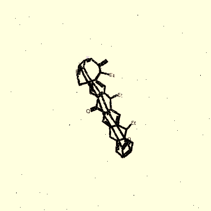 C=C1/C=C2\C3=CCc4cc5c(cc4C1CC)C(CC)c1cc4c(cc1C5=O)Cc1cc(c(cc1C4CC)C2CC)C3=O